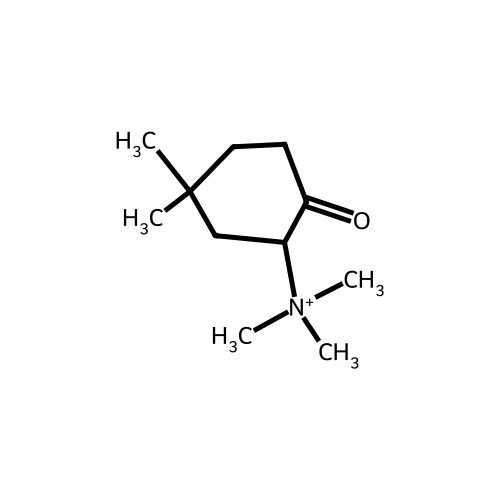 CC1(C)CCC(=O)C([N+](C)(C)C)C1